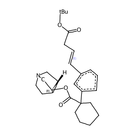 CC(C)(C)OC(=O)C/C=C/c1cccc(C2(C(=O)O[C@H]3CN4CCC3CC4)CCCCC2)c1